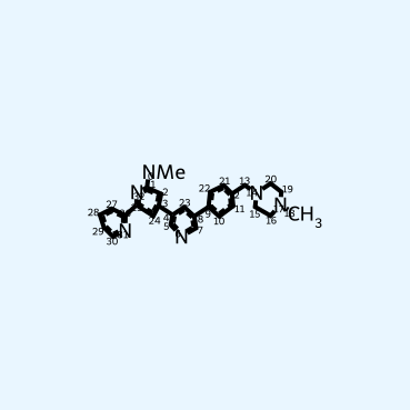 CNc1cc(-c2cncc(-c3ccc(CN4CCN(C)CC4)cc3)c2)cc(-c2ccccn2)n1